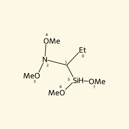 CCC(N(OC)OC)[SiH](OC)OC